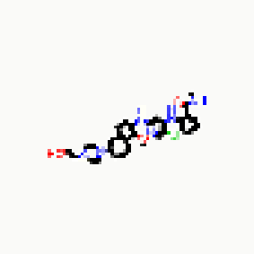 CNC(=O)c1ccccc1Nc1cc(Nc2ccc3c(c2OC)CCCC(N2CCN(CCO)CC2)C3)ncc1Cl